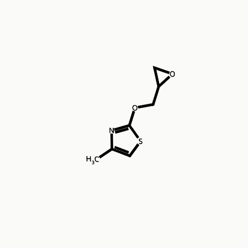 Cc1csc(OCC2CO2)n1